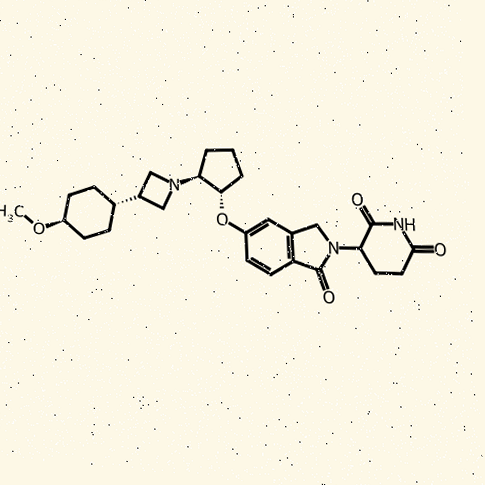 CO[C@H]1CC[C@H](C2CN([C@H]3CCC[C@@H]3Oc3ccc4c(c3)CN(C3CCC(=O)NC3=O)C4=O)C2)CC1